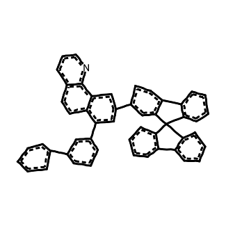 c1ccc(-c2cccc(-c3cc(-c4ccc5c(c4)C4(c6ccccc6-c6ccccc64)c4ccccc4-5)cc4c3ccc3cccnc34)c2)cc1